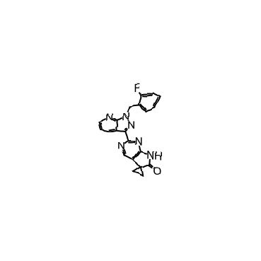 O=C1Nc2nc(-c3nn(Cc4ccccc4F)c4ncccc34)ncc2C12CC2